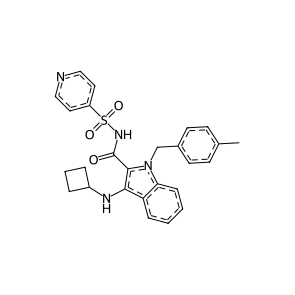 Cc1ccc(Cn2c(C(=O)NS(=O)(=O)c3ccncc3)c(NC3CCC3)c3ccccc32)cc1